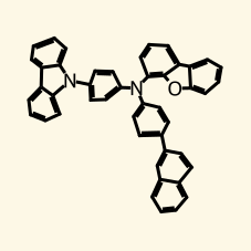 c1ccc2cc(-c3ccc(N(c4ccc(-n5c6ccccc6c6ccccc65)cc4)c4cccc5c4oc4ccccc45)cc3)ccc2c1